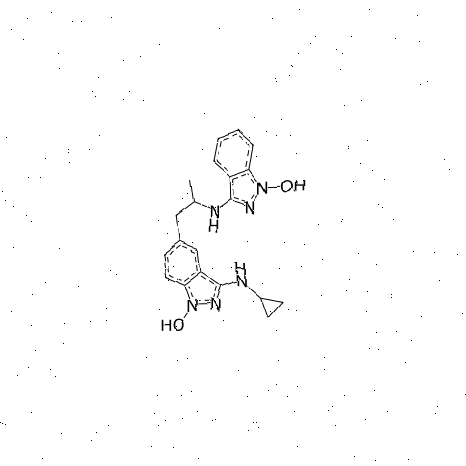 CC(Cc1ccc2c(c1)c(NC1CC1)nn2O)Nc1nn(O)c2ccccc12